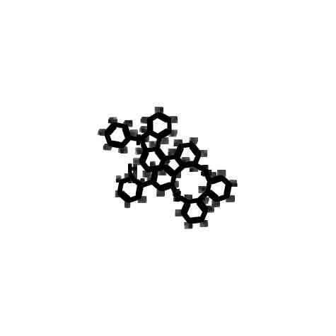 C1=CCNC(c2ccc3c(c2)Sc2ccccc2-c2ccccc2Sc2cccc(-c4cccc5c4c4ccccc4n5-c4ccccc4)c2-3)=C1